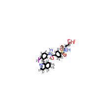 O=C(Nc1ccc(I)c(-c2nccc3ccccc23)c1)c1ccc(S(=O)(=O)NCCO)cc1